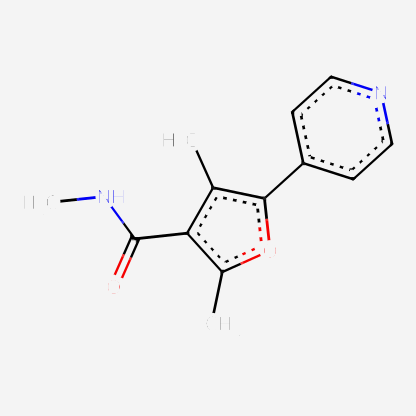 CNC(=O)c1c(C)oc(-c2ccncc2)c1C